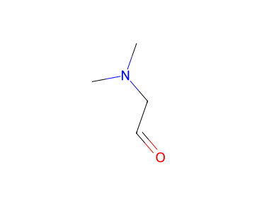 CN(C)CC=O